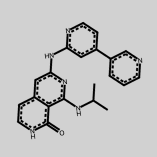 CC(C)Nc1nc(Nc2cc(-c3cccnc3)ccn2)cc2cc[nH]c(=O)c12